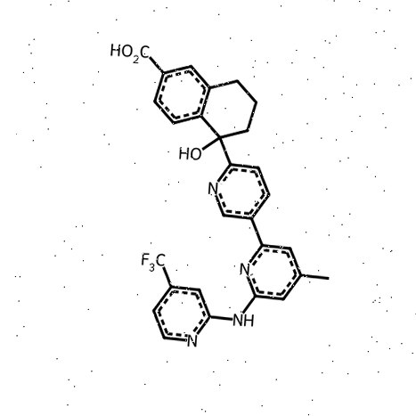 Cc1cc(Nc2cc(C(F)(F)F)ccn2)nc(-c2ccc(C3(O)CCCc4cc(C(=O)O)ccc43)nc2)c1